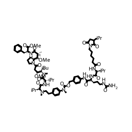 CC[C@H](C)[C@@H]([C@@H](CC(=O)N1CCC[C@H]1[C@H](OC)[C@@H](C)C(=O)N[C@@H](Cc1ccccc1)C(=O)OC)OC)N(C)C(=O)[C@@H](NC(=O)[C@H](C(C)C)N(C)CCc1ccc(N(C)C(=O)OCc2ccc(NC(=O)[C@H](CCCNC(N)=O)NC(=O)[C@@H](NC(=O)CCCCCN3C(=O)CC(C(C)C)C3=O)C(C)C)cc2)cc1)C(C)C